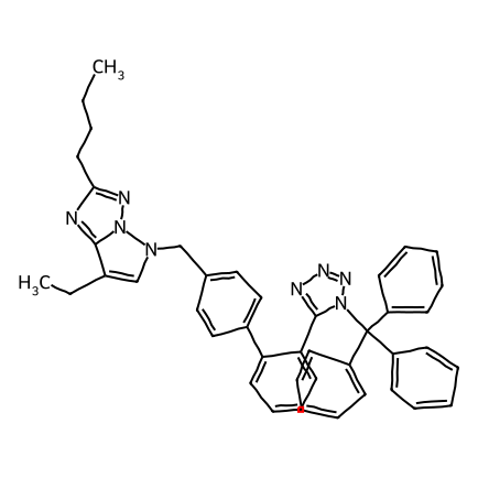 CCCCc1nc2c(CC)cn(Cc3ccc(-c4ccccc4-c4nnnn4C(c4ccccc4)(c4ccccc4)c4ccccc4)cc3)n2n1